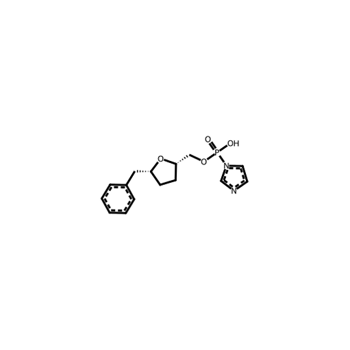 O=P(O)(OC[C@@H]1CC[C@H](Cc2ccccc2)O1)n1ccnc1